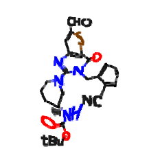 CC(C)(C)OC(=O)N[C@@H]1CCCN(c2nc3cc(C=O)sc3c(=O)n2Cc2ccccc2C#N)C1